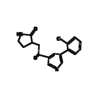 O=C(CC1CCNC1=O)c1cncc(-c2ccccc2Cl)c1